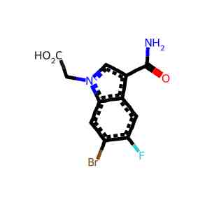 NC(=O)c1cn(CC(=O)O)c2cc(Br)c(F)cc12